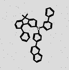 CC1(C)c2ccc(N(c3ccc(-c4ccc5ccccc5c4)cc3)c3cccc(-c4ccccc4)c3)cc2-c2c(-c3ccccc3)cccc21